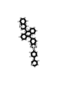 c1cncc(-c2ccc(-n3nc4ccc(-c5c6ccccc6c(-c6cnc7ccccc7c6)c6ccccc56)cc4n3)cc2)c1